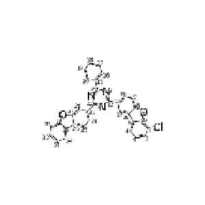 Clc1cccc2c1oc1ccc(-c3nc(-c4ccccc4)nc(-c4ccc5c(c4)oc4ccccc45)n3)cc12